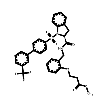 COC(=O)CCOc1ccccc1CNC(=O)[C@@H]1Cc2ccccc2N1S(=O)(=O)c1ccc(-c2cccc(C(F)(F)F)c2)cc1